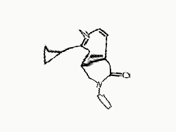 O=C1c2ccnc(C3CC3)c2CN1Cl